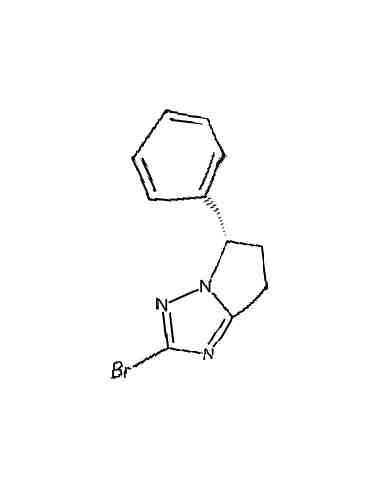 Brc1nc2n(n1)[C@H](c1ccccc1)CC2